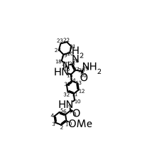 COc1ccccc1C(=O)NCc1ccc(C2NN(CC3CCCCC3)C(N)=C2C(N)=O)cc1